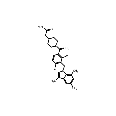 C=C(c1ccc(Cl)c(Cn2cc(C)c3nc(C(F)(F)F)cc(C)c32)c1Cl)N1CCC(CC(=O)OC)CC1